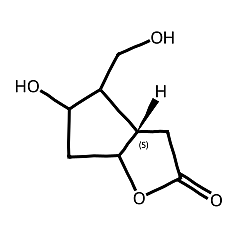 O=C1C[C@@H]2C(CC(O)C2CO)O1